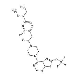 CCN(SC)c1ccc(CC(=O)N2CCN(C3=NC=NC4SC(CC(F)(F)F)=CC34)CC2)c(Cl)c1